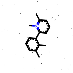 Cc1cccc(-c2cccc(C)[n+]2C)c1C